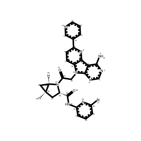 Nc1ncnc2c1c1nc(-c3cccnc3)ccc1n2CC(=O)N1[C@@H]2C[C@@H]2C[C@H]1C(=O)Nc1cccc(Br)n1